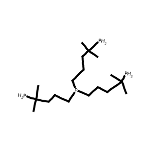 CC(C)(P)CCCP(CCCC(C)(C)P)CCCC(C)(C)P